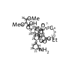 CC[C@H]1CCCC[C@@H](C)C(=O)C2=C[C@@H]3[C@@H](C4C(=O)C(c5cccc(N)c5)=CC4C4C[C@@H](O[C@H](O)/C(OC)=C(/C)OC)C[C@H]43)[C@@H]2CC(=O)O1